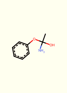 CC(N)(O)Oc1ccccc1